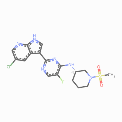 CS(=O)(=O)N1CCC[C@H](Nc2nc(-c3c[nH]c4ncc(Cl)cc34)ncc2F)C1